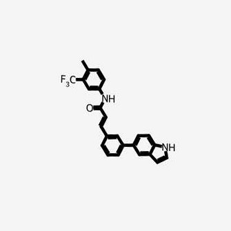 Cc1ccc(NC(=O)C=Cc2cccc(-c3ccc4[nH]ccc4c3)c2)cc1C(F)(F)F